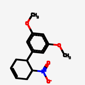 COc1cc(OC)cc(C2CC=CCC2[N+](=O)[O-])c1